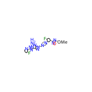 COCc1nc(-c2ccc(F)c(N3CCN(CCn4ncc5c4nc(N)n4nc(-c6ncccc6F)nc54)CC3)c2)no1